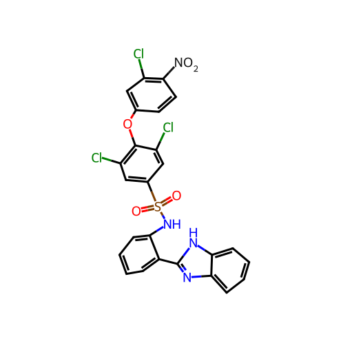 O=[N+]([O-])c1ccc(Oc2c(Cl)cc(S(=O)(=O)Nc3ccccc3-c3nc4ccccc4[nH]3)cc2Cl)cc1Cl